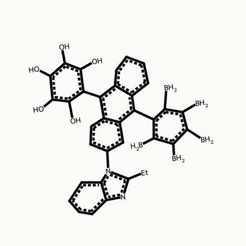 Bc1c(B)c(B)c(-c2c3ccccc3c(-c3c(O)c(O)c(O)c(O)c3O)c3ccc(-n4c(CC)nc5ccccc54)cc23)c(B)c1B